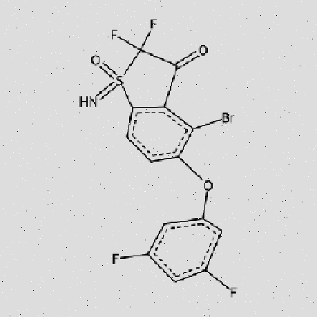 N=S1(=O)c2ccc(Oc3cc(F)cc(F)c3)c(Br)c2C(=O)C1(F)F